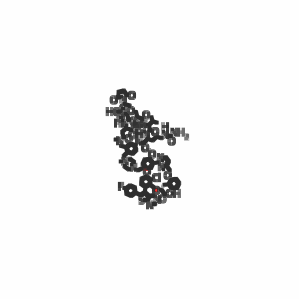 COc1ccccc1-c1nccc(COc2ccccc2C[C@@H](Oc2ncnc3sc(-c4ccc(F)cc4)c(-c4ccc(OCCN5CC[N+](C)(Cc6ccc(NC(=O)C(CCCNC(N)=O)NC(=O)C(NC(=O)CCOCCN7C(=O)C=CC7=O)C(C)C)cc6CN(C)C(=O)CC(NC(=O)CS(=O)(=O)O)C(=O)O)CC5)c(Cl)c4C)c23)C(=O)O)n1